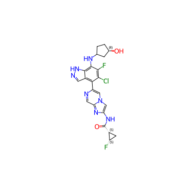 O=C(Nc1cn2cc(-c3c(Cl)c(F)c(NC4CC[C@@H](O)C4)c4[nH]ncc34)ncc2n1)[C@@H]1C[C@@H]1F